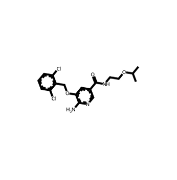 CC(C)OCCNC(=O)c1cnc(N)c(OCc2c(Cl)cccc2Cl)c1